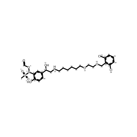 CS(=O)(=O)N(OC=O)c1cc([C@@H](O)CNCCCCCCOCCOCc2c(Cl)cccc2Cl)ccc1O